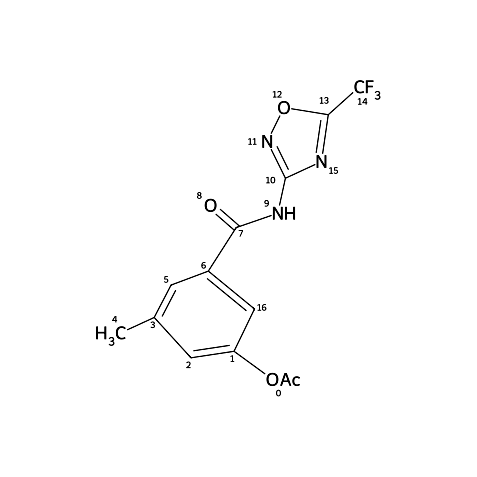 CC(=O)Oc1cc(C)cc(C(=O)Nc2noc(C(F)(F)F)n2)c1